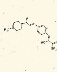 CN1CCN(C(=O)C=Cc2ccc(C=C(O)C(N)=O)nc2)CC1